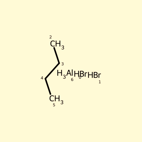 Br.Br.CCCC.[AlH3]